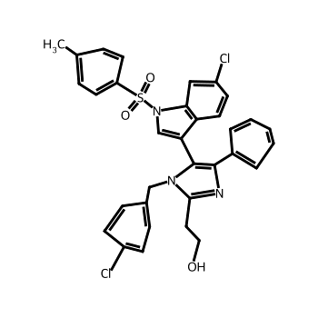 Cc1ccc(S(=O)(=O)n2cc(-c3c(-c4ccccc4)nc(CCO)n3Cc3ccc(Cl)cc3)c3ccc(Cl)cc32)cc1